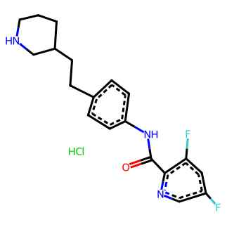 Cl.O=C(Nc1ccc(CCC2CCCNC2)cc1)c1ncc(F)cc1F